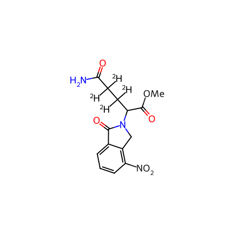 [2H]C([2H])(C(N)=O)C([2H])([2H])C(C(=O)OC)N1Cc2c(cccc2[N+](=O)[O-])C1=O